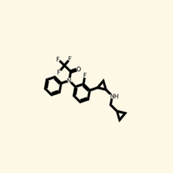 O=C(N(c1ccccc1)c1cccc(C2CC2NCC2CC2)c1F)C(F)(F)F